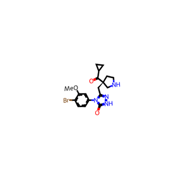 COc1cc(-n2c(C[C@@]3(C(=O)C4CC4)CCNC3)n[nH]c2=O)ccc1Br